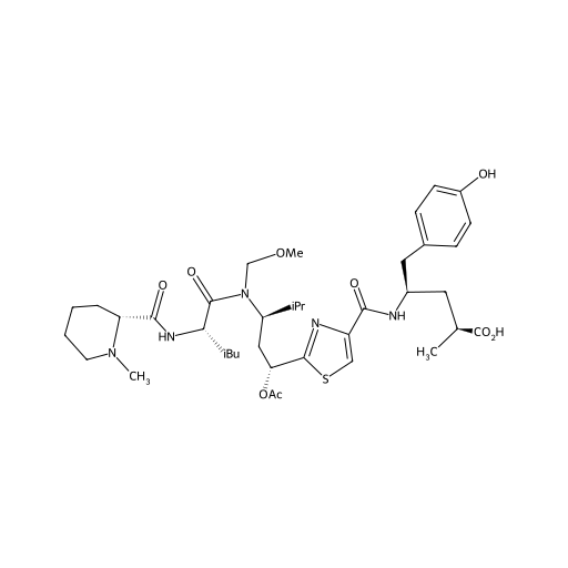 CCC(C)[C@H](NC(=O)[C@H]1CCCCN1C)C(=O)N(COC)[C@H](C[C@@H](OC(C)=O)c1nc(C(=O)N[C@@H](Cc2ccc(O)cc2)C[C@H](C)C(=O)O)cs1)C(C)C